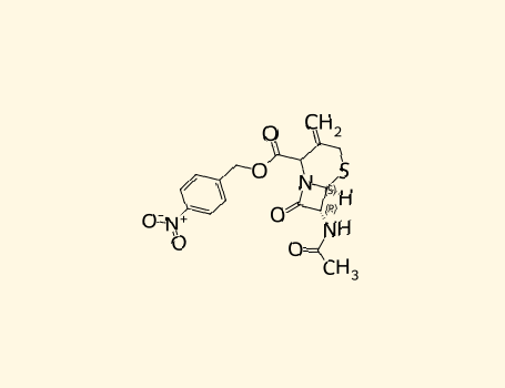 C=C1CS[C@H]2[C@H](NC(C)=O)C(=O)N2C1C(=O)OCc1ccc([N+](=O)[O-])cc1